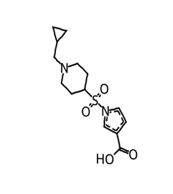 O=C(O)c1ccn(S(=O)(=O)C2CCN(CC3CC3)CC2)c1